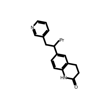 CC(C)C(Cc1cccnc1)c1ccc2c(c1)CCC(=O)N2